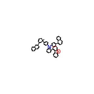 CC1(c2ccc(N(c3ccc(-c4cccc5ccccc45)cc3)c3ccccc3-c3cccc4oc5ccccc5c34)cc2)C=C(c2ccc3ccccc3c2)C=CC1